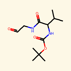 CC(C)C(NC(=O)OC(C)(C)C)C(=O)NCC=O